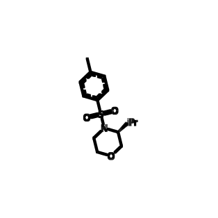 Cc1ccc(S(=O)(=O)N2CCOC[C@@H]2C(C)C)cc1